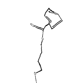 CCOC(=O)OCCCCOC(=O)c1ccccc1